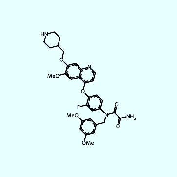 COc1cc(CN(C(=O)C(N)=O)c2ccc(Oc3ccnc4cc(OCC5CCNCC5)c(OC)cc34)c(F)c2)cc(OC)c1